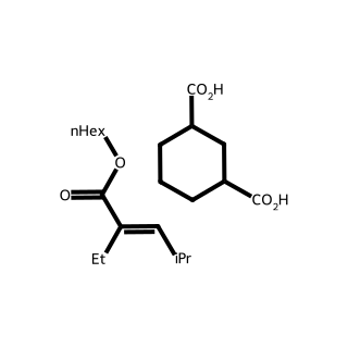 CCCCCCOC(=O)C(=CC(C)C)CC.O=C(O)C1CCCC(C(=O)O)C1